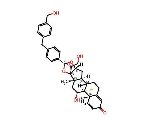 C[C@]12C=CC(=O)C=C1CC[C@H]1[C@@H]3C[C@H]4O[C@@H](c5ccc(Cc6ccc(CO)cc6)cc5)O[C@@]4(C(=O)CO)[C@@]3(C)C[C@H](O)[C@@]12F